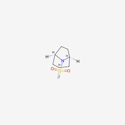 C[C@@H]1C[C@H]2CC[C@@H](C1)N2S(C)(=O)=O